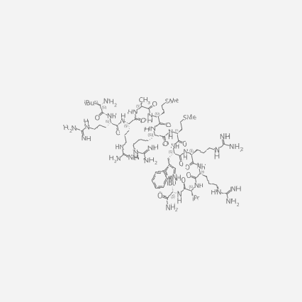 CC[C@H](C)[C@H](N)C(=O)N[C@@H](CCCNC(=N)N)C(=O)N[C@@H](CCCNC(=N)N)C(=O)N[C@@H](C)C(=O)N[C@@H](CCSC)C(=O)N[C@@H](CCCNC(=N)N)C(=O)N[C@@H](CCSC)C(=O)N[C@@H](Cc1c[nH]c2ccccc12)C(=O)N[C@@H](CCCNC(=N)N)C(=O)N[C@@H](CCCNC(=N)N)C(=O)N[C@H](C(=O)N[C@H](C(N)=O)[C@@H](C)CC)C(C)C